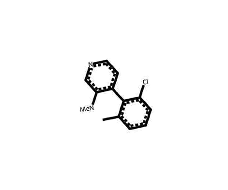 CNc1cnccc1-c1c(C)cccc1Cl